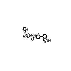 O=C(N[C@H]1CN[C@H](Cn2cccn2)C1)c1ccc(-c2cccc3[nH]ncc23)nc1